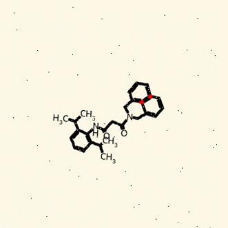 CC(C)c1cccc(C(C)C)c1NC(=O)CC(=O)N(Cc1ccccc1)Cc1ccccc1